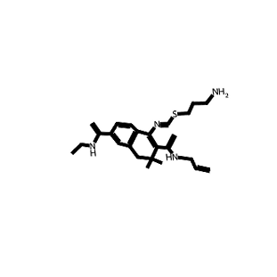 C=CCNC(=C)C1=C(/N=C/SCCCN)c2ccc(C(=C)NCC)cc2CC1(C)C